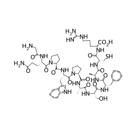 C[C@H](NC(=O)[C@H](Cc1ccccc1)NC(=O)[C@H](CO)NC(=O)[C@H](C)NC(=O)[C@@H]1CCCN1C(=O)[C@H](Cc1c[nH]c2ccccc12)NC(=O)[C@@H]1CCCN1C(=O)[C@H](CCC(N)=O)NC(=O)CN)C(=O)N[C@@H](CS)C(=O)N[C@@H](CCCNC(=N)N)C(=O)O